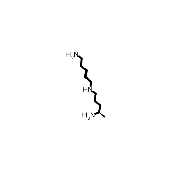 C[C@@H](N)CCCNCCCCCN